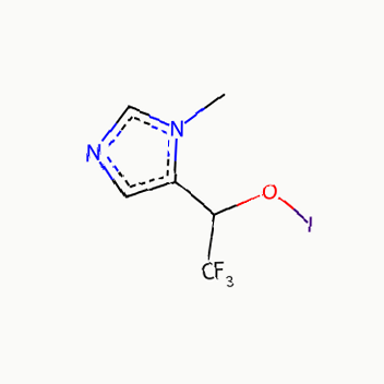 Cn1cncc1C(OI)C(F)(F)F